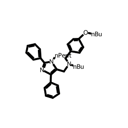 CCCCCn1c(-c2ccccc2)nc(-c2ccccc2)c1CN(CCCC)Cc1ccc(OCCCC)cc1